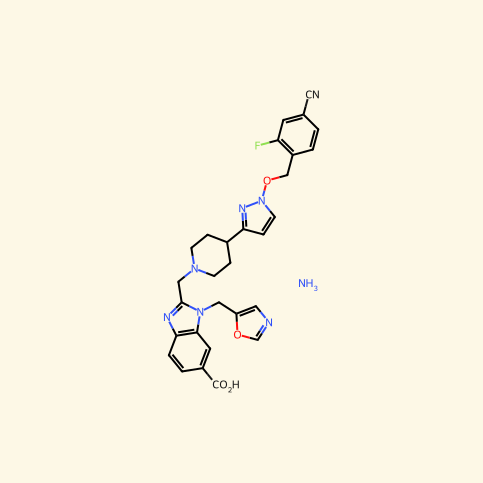 N.N#Cc1ccc(COn2ccc(C3CCN(Cc4nc5ccc(C(=O)O)cc5n4Cc4cnco4)CC3)n2)c(F)c1